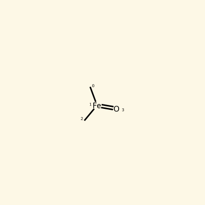 [CH3][Fe]([CH3])=[O]